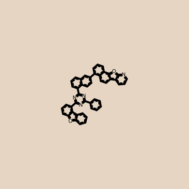 c1ccc(-c2nc(-c3cccc4cc(-c5cccc6c5ccc5c7cccnc7oc65)ccc34)nc(-c3cccc4oc5ccccc5c34)n2)cc1